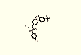 C[C@@H](C(=O)Nc1ccc(Cl)cc1)[C@H]1CC[C@]2(CC1)COc1cc(C(F)(F)F)ccc12